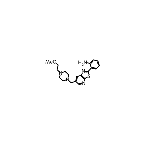 COCCN1CCN(Cc2cnc3sc(-c4ccccc4N)nc3c2)CC1